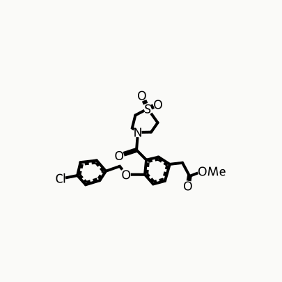 COC(=O)Cc1ccc(OCc2ccc(Cl)cc2)c(C(=O)N2CCS(=O)(=O)CC2)c1